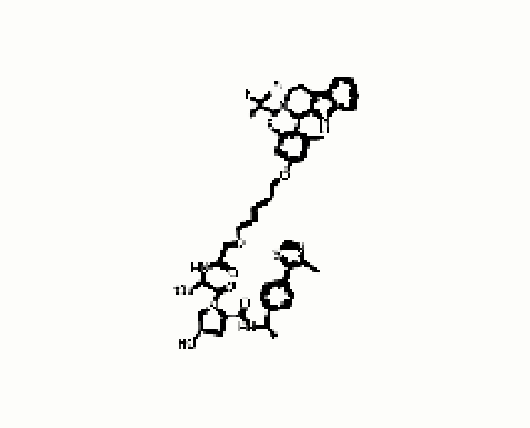 Cc1ncsc1-c1ccc(C(C)NC(=O)[C@@H]2C[C@@H](O)CN2C(=O)C(NC(=O)COCCCCCOc2cc(F)c([C@@H]3c4[nH]c5ccccc5c4C[C@@H](C)N3CC(C)(C)F)c(F)c2)C(C)(C)C)cc1